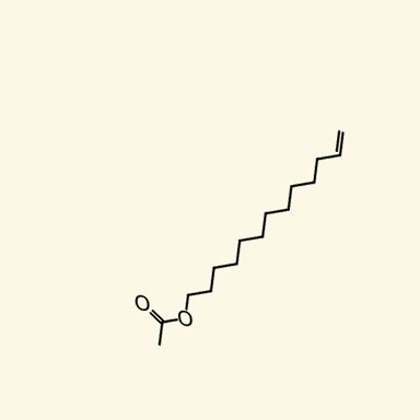 C=CCCCCCCCCCCCOC(C)=O